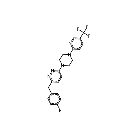 Fc1ccc(Cc2ccc(N3CCN(c4ccc(C(F)(F)F)cn4)CC3)nn2)cc1